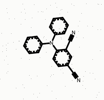 N#Cc1ccc(N(c2ccccc2)c2ccccc2)c(C#N)c1